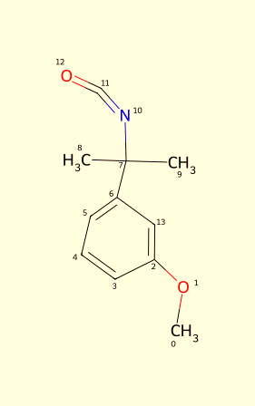 COc1cccc(C(C)(C)N=C=O)c1